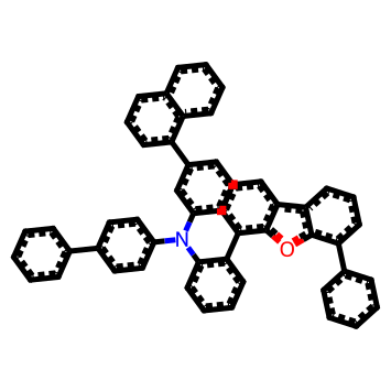 c1ccc(-c2ccc(N(c3cccc(-c4cccc5ccccc45)c3)c3ccccc3-c3cccc4c3oc3c(-c5ccccc5)cccc34)cc2)cc1